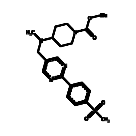 CN(Cc1cnc(-c2ccc(S(C)(=O)=O)cc2)nc1)C1CCN(C(=O)OC(C)(C)C)CC1